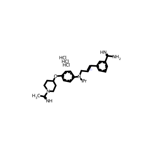 CC(=N)N1CCC(Oc2ccc(N(C/C=C/c3cccc(C(=N)N)c3)C(C)C)cc2)CC1.Cl.Cl.Cl